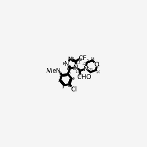 CNc1ccc(Cl)cc1-c1nnc(C(F)(F)F)n1C(C=O)N1CCOCC1